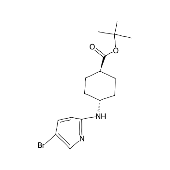 CC(C)(C)OC(=O)[C@H]1CC[C@H](Nc2ccc(Br)cn2)CC1